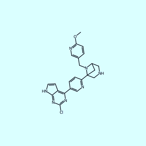 COc1ccc(CN2C3CNCC2(c2ccc(-c4nc(Cl)nc5[nH]ccc45)cn2)C3)cn1